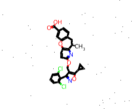 C[C@@H]1Cc2ccc(C(=O)O)cc2Oc2ccc(OCc3c(-c4c(Cl)cccc4Cl)noc3C3CC3)nc21